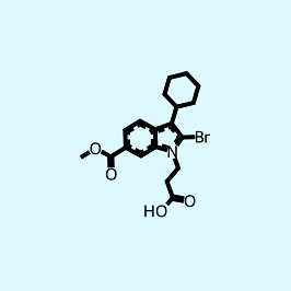 COC(=O)c1ccc2c(C3CCCCC3)c(Br)n(CCC(=O)O)c2c1